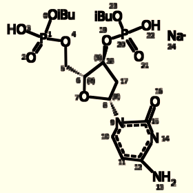 CC(C)COP(=O)(O)OC[C@H]1O[C@@H](n2ccc(N)nc2=O)C[C@@H]1OP(=O)(O)OCC(C)C.[Na]